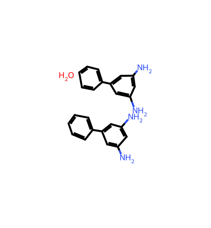 Nc1cc(N)cc(-c2ccccc2)c1.Nc1cc(N)cc(-c2ccccc2)c1.O